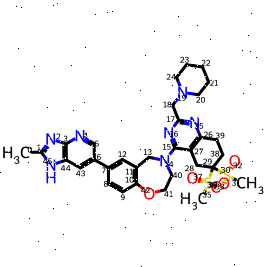 Cc1nc2ncc(-c3ccc4c(c3)CN(c3nc(CN5CCCCC5)nc5c3CC(S(C)(=O)=O)(S(C)(=O)=O)CC5)CCO4)cc2[nH]1